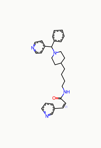 O=C(/C=C\c1cccnc1)NCCCCC1CCN(C(c2ccccc2)c2ccncc2)CC1